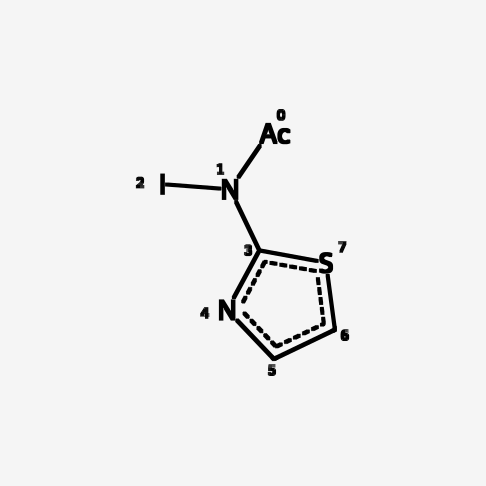 CC(=O)N(I)c1nccs1